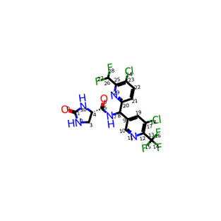 O=C1NC[C@@H](C(=O)NC(c2cnc(C(F)(F)F)c(Cl)c2)c2ccc(Cl)c(C(F)F)n2)N1